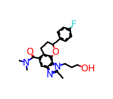 Cc1nc2cc(C(=O)N(C)C)c3c(c2n1CCCO)OC(c1ccc(F)cc1)CC3